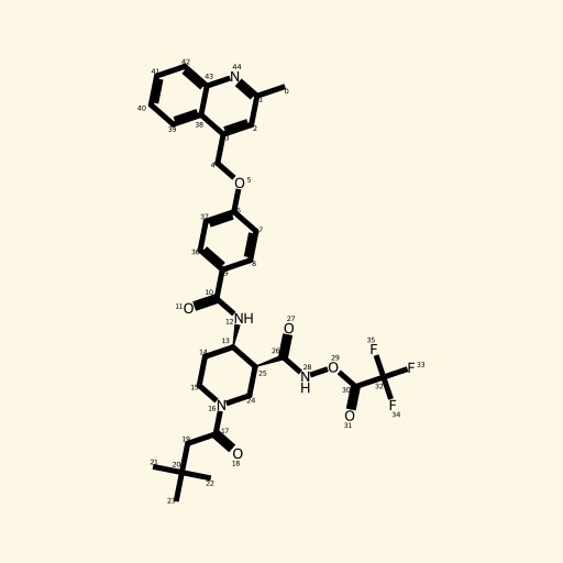 Cc1cc(COc2ccc(C(=O)N[C@@H]3CCN(C(=O)CC(C)(C)C)C[C@@H]3C(=O)NOC(=O)C(F)(F)F)cc2)c2ccccc2n1